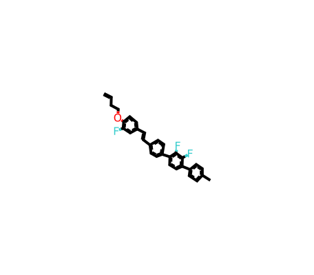 C=CCCOc1ccc(/C=C/c2ccc(-c3ccc(-c4ccc(C)cc4)c(F)c3F)cc2)cc1F